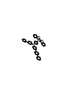 c1ccc(-c2ccc(-c3ccc(N(c4ccc(-c5ccccc5)cc4)c4ccc(N5C6c7ccccc7SC6C6Sc7ccccc7C65)cc4)cc3)cc2)cc1